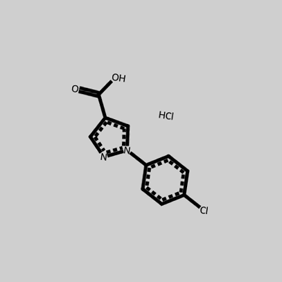 Cl.O=C(O)c1cnn(-c2ccc(Cl)cc2)c1